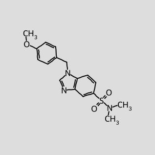 COc1ccc(Cn2cnc3cc(S(=O)(=O)N(C)C)ccc32)cc1